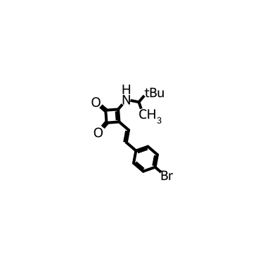 CC(Nc1c(/C=C/c2ccc(Br)cc2)c(=O)c1=O)C(C)(C)C